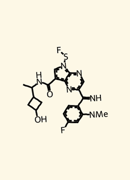 CNc1cc(F)ccc1C(=N)c1cnc2c(n1)c(C(=O)NC(C)C1CC(O)C1)cn2SF